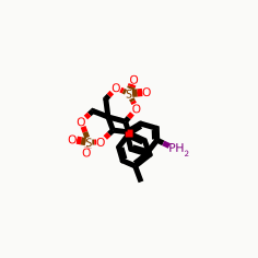 Cc1ccc(C2OS(=O)(=O)OCC23COS(=O)(=O)OC3c2ccc(P)cc2)cc1